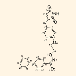 CC/C(=N/OCCOc1ccc(CC2SC(=O)NC2=O)cc1)c1ccc(-c2ccccc2)cc1